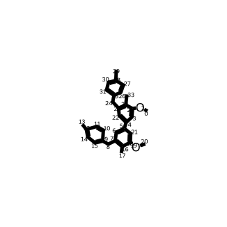 COc1cc(-c2cc(Cc3ccc(C)cc3)c(C)c(OC)c2)cc(Cc2ccc(C)cc2)c1C